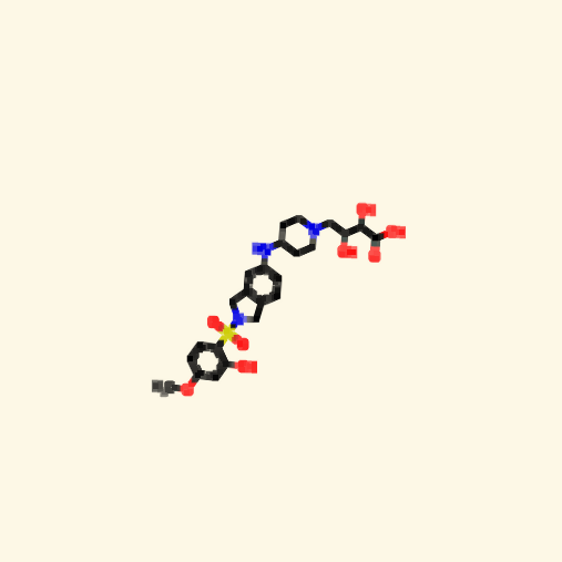 COc1ccc(S(=O)(=O)N2Cc3ccc(NC4CCN(CC(O)C(O)C(=O)O)CC4)cc3C2)c(O)c1